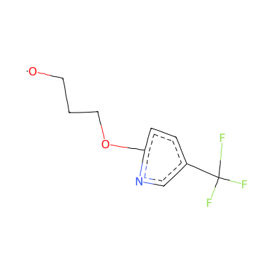 [O]CCCOc1ccc(C(F)(F)F)cn1